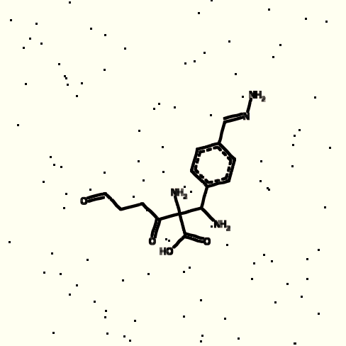 NN=Cc1ccc(C(N)C(N)(C(=O)O)C(=O)CCC=O)cc1